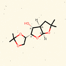 CC1(C)C[C@H]2[C@H](O[C@H](C3COC(C)(C)O3)[C@@H]2O)O1